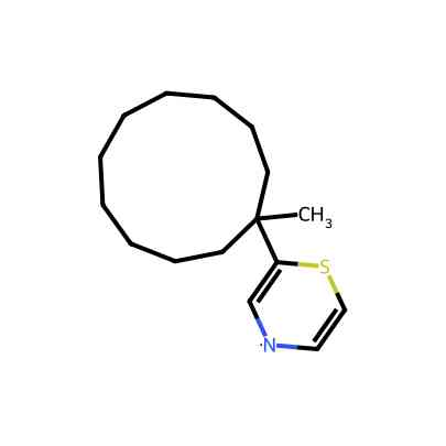 CC1(C2=C[N]C=CS2)CCCCCCCCCC1